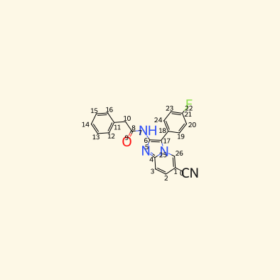 N#Cc1ccc2nc(NC(=O)Cc3ccccc3)c(-c3ccc(F)cc3)n2c1